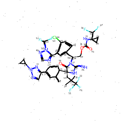 CC1C=C(c2cnn(C3CC3)n2)C=CC1[C@@]1(CC(C)(C)C(F)(F)F)NC(=N)N([C@H](COC(=O)NC2(C(F)F)CC2)c2ccc(Cl)c(-c3ncnn3C(F)F)c2)C1=O